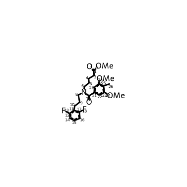 COC(=O)CCCCN(CCCc1c(F)cccc1F)C(=O)c1cc(OC)c(C)c(OC)c1